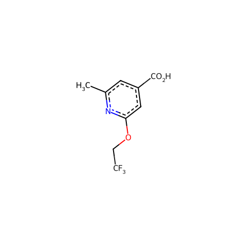 Cc1cc(C(=O)O)cc(OCC(F)(F)F)n1